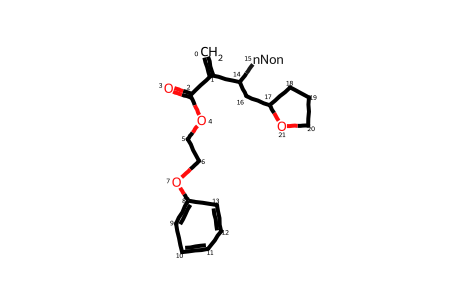 C=C(C(=O)OCCOc1ccccc1)C(CCCCCCCCC)CC1CCCO1